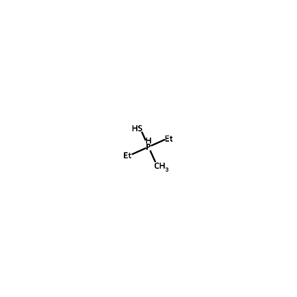 CC[PH](C)(S)CC